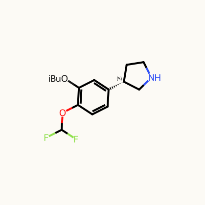 CC(C)COc1cc([C@@H]2CCNC2)ccc1OC(F)F